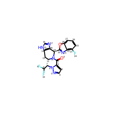 O=C(c1ccnn1CC(F)F)N1CCc2[nH]cnc2[C@H]1c1nc2c(F)cccc2o1